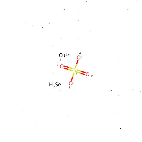 O=S(=O)([O-])[O-].[Cu+2].[SeH2]